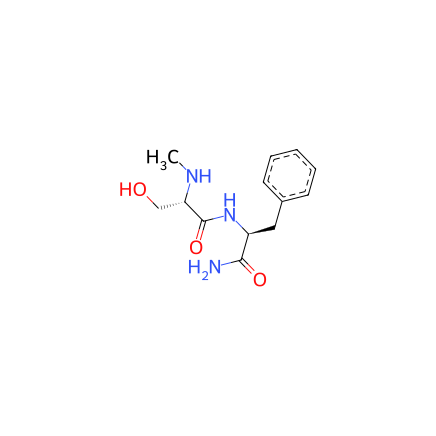 CN[C@@H](CO)C(=O)N[C@@H](Cc1ccccc1)C(N)=O